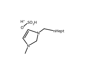 CCCCCCCCN1C=CN(C)C1.O=S(=O)([O-])O.[H+]